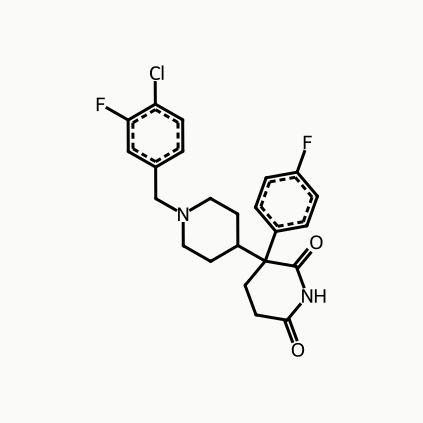 O=C1CCC(c2ccc(F)cc2)(C2CCN(Cc3ccc(Cl)c(F)c3)CC2)C(=O)N1